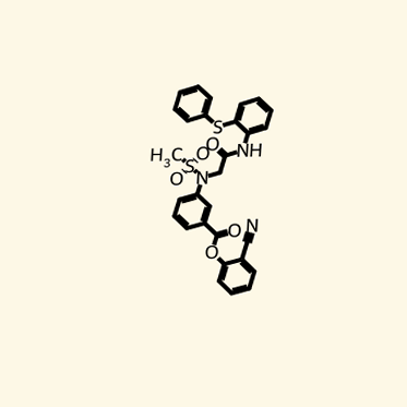 CS(=O)(=O)N(CC(=O)Nc1ccccc1Sc1ccccc1)c1cccc(C(=O)Oc2ccccc2C#N)c1